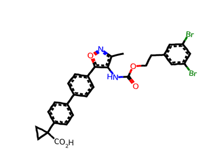 Cc1noc(-c2ccc(-c3ccc(C4(C(=O)O)CC4)cc3)cc2)c1NC(=O)OCCc1cc(Br)cc(Br)c1